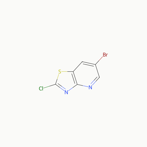 Clc1nc2ncc(Br)cc2s1